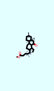 COC(=O)CC[C@@H](C)[C@H]1CCC2C3C(=O)C[C@@H]4C[C@H](C)CC[C@]4(C)C3CC[C@@]21C